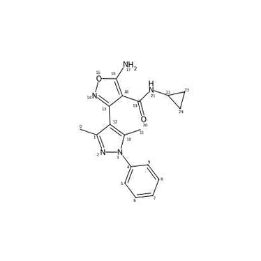 Cc1nn(-c2ccccc2)c(C)c1-c1noc(N)c1C(=O)NC1CC1